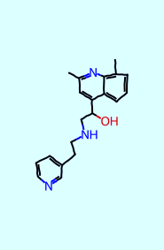 Cc1cc(C(O)CNCCc2cccnc2)c2cccc(C)c2n1